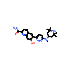 CN(c1ccc(-c2cc3ccc(C(N)=O)nc3cc2O)nn1)C1CC(C)(C)NC(C)(C)C1